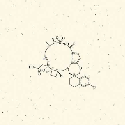 CC1C/C=C/[C@](O)(CC(=O)O)[C@@H]2CC[C@H]2CN2C[C@@]3(CCCc4cc(Cl)ccc43)COc3ccc(cc32)C(=O)NS(=O)(=O)[C@@H]1C